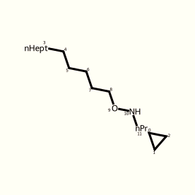 C1CC1.CCCCCCCCCCCCONCCC